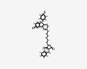 O=C1CN(CCCCCCN2CCC3C(C2)c2cc(F)ccc2N3c2ccc(F)cc2)C(=O)N1Cc1ccccc1